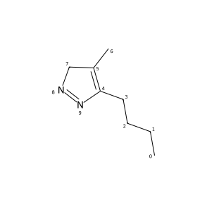 CCCCC1=C(C)CN=N1